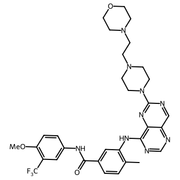 COc1ccc(NC(=O)c2ccc(C)c(Nc3ncnc4cnc(N5CCN(CCN6CCOCC6)CC5)nc34)c2)cc1C(F)(F)F